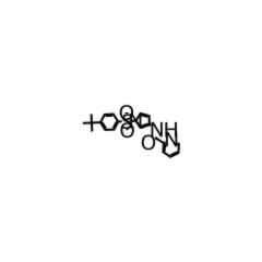 CC(C)(C)c1ccc(S(=O)(=O)n2ccc(NC(=O)c3ccccn3)c2)cc1